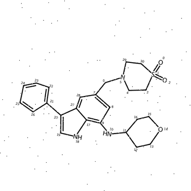 O=S1(=O)CCN(Cc2cc(NC3CCOCC3)c3[nH]cc(-c4ccccc4)c3c2)CC1